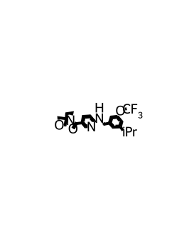 CC(C)c1cc(CNc2ccc(C(=O)N3CCC34COC4)cn2)cc(OC(F)(F)F)c1